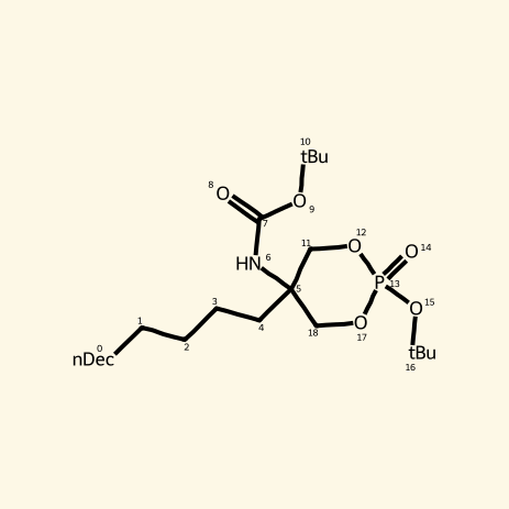 CCCCCCCCCCCCCCC1(NC(=O)OC(C)(C)C)COP(=O)(OC(C)(C)C)OC1